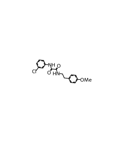 COc1ccc(CCNC(=O)C(=O)Nc2cccc(Cl)c2)cc1